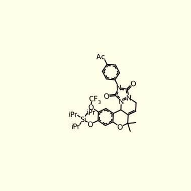 CC(=O)c1ccc(-n2c(=O)n3n(c2=O)C2C(=CC3)C(C)(C)Oc3cc(O[Si](C(C)C)(C(C)C)C(C)C)c(OC(F)(F)F)cc32)cc1